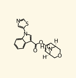 CN1[C@@H]2COC[C@H]1C[C@@H](OC(=O)c1cn(-c3cncs3)c3ccccc13)C2